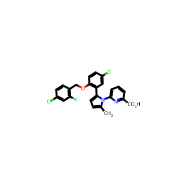 Cc1ccc(-c2cc(Cl)ccc2OCc2ccc(Cl)cc2F)n1-c1cccc(C(=O)O)n1